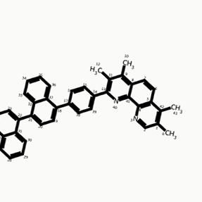 Cc1cnc2c(ccc3c(C)c(C)c(-c4ccc(-c5ccc(-c6cccc7ccccc67)c6ccccc56)cc4)nc32)c1C